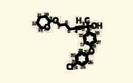 CC(O)(C#CCCCOC1CCCCO1)c1ccc(Oc2ccc(Cl)cc2)cc1